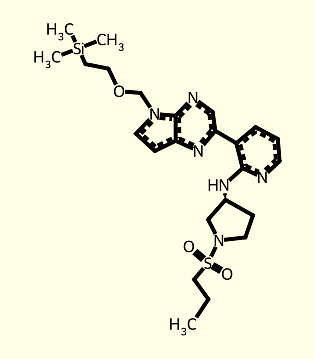 CCCS(=O)(=O)N1CC[C@@H](Nc2ncccc2-c2cnc3c(ccn3COCC[Si](C)(C)C)n2)C1